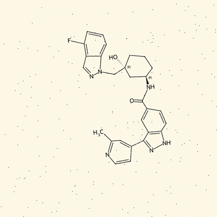 Cc1cc(-c2n[nH]c3ccc(C(=O)N[C@@H]4CCC[C@](O)(Cn5ncc6c(F)cccc65)C4)cc23)ccn1